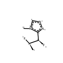 C[C@@H](F)[C@H](F)c1nncn1C